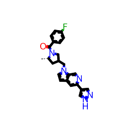 C[C@H]1CC(Cn2ccc3cc(-c4cn[nH]c4)ncc32)CN1C(=O)c1ccc(F)cc1